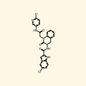 O=C(CN1C(=O)C(NC(=O)c2cc3cc(Cl)ccc3[nH]2)Cc2ccccc21)Nc1ccc(Cl)nc1